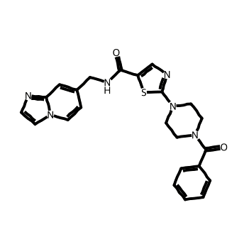 O=C(NCc1ccn2ccnc2c1)c1cnc(N2CCN(C(=O)c3ccccc3)CC2)s1